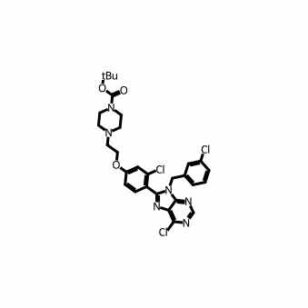 CC(C)(C)OC(=O)N1CCN(CCOc2ccc(-c3nc4c(Cl)ncnc4n3Cc3cccc(Cl)c3)c(Cl)c2)CC1